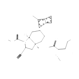 C#CC1C[C@H]2[C@@H](OC(=O)[C@@H](NC)[C@@H](C)CC)CCC[C@H]2N1C(=O)OC.Cc1cc2ccc1-2